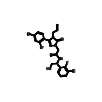 C=CCn1c(-c2ccc(Cl)cc2Br)nn(CC(=O)NC(CO)c2cccc(Cl)c2F)c1=O